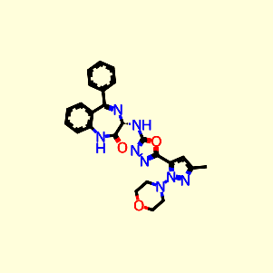 Cc1cc(-c2nnc(N[C@H]3N=C(c4ccccc4)c4ccccc4NC3=O)o2)n(N2CCOCC2)n1